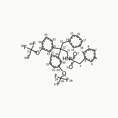 O=S(=O)(Cc1ccccc1)NCC(Cc1ccccc1)(c1cccc(OC(F)(F)F)c1)c1cccc(OC(F)(F)F)c1